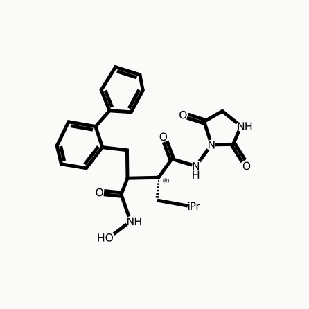 CC(C)C[C@@H](C(=O)NN1C(=O)CNC1=O)C(Cc1ccccc1-c1ccccc1)C(=O)NO